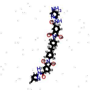 Cc1ccc(NC(=O)c2ccc3c(c2)C(=O)N(c2ccc(C(C)(C)c4ccc(N5C(=O)c6ccc(C(=O)Nc7ccc(N)cn7)cc6C5=O)cc4)cc2)C3=O)nc1